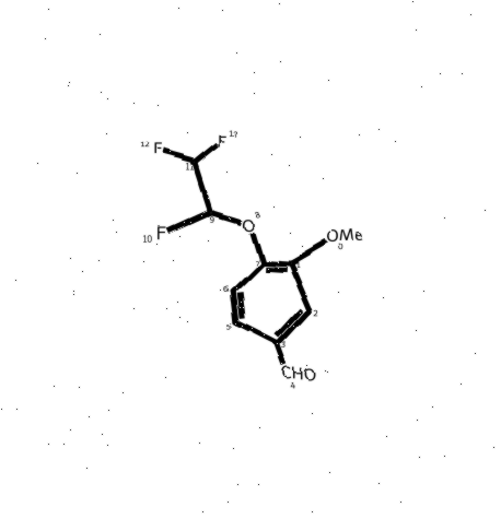 COc1cc(C=O)ccc1OC(F)C(F)F